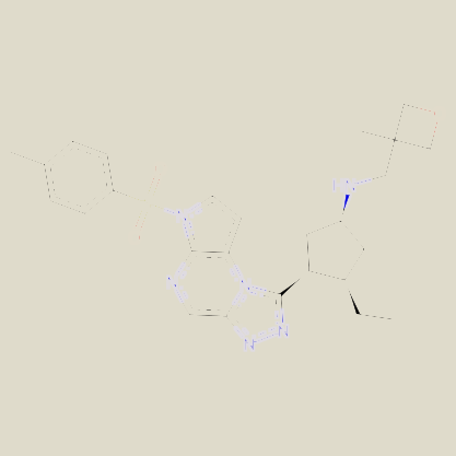 CC[C@@H]1C[C@H](NCC2(C)COC2)C[C@@H]1c1nnc2cnc3c(ccn3S(=O)(=O)c3ccc(C)cc3)n12